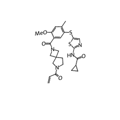 C=CC(=O)N1CCC2(C1)CN(C(=O)c1cc(Sc3cnc(NC(=O)C4CC4)s3)c(C)cc1OC)C2